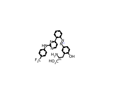 N[C@H](Cc1cc(/N=N/c2ccccc2-c2ccnc(Nc3ccc(C(F)(F)F)cc3)n2)ccc1O)C(=O)O